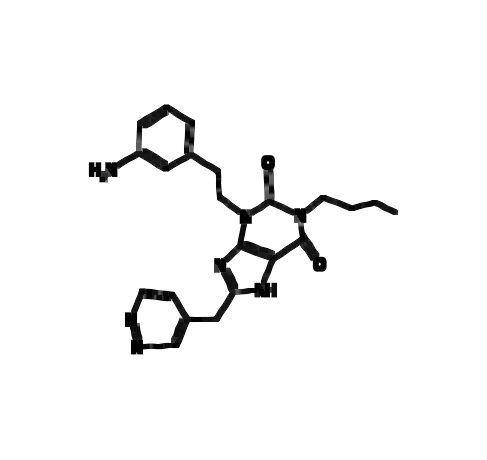 CCCCn1c(=O)c2[nH]c(Cc3ccnnc3)nc2n(CCc2cccc(N)c2)c1=O